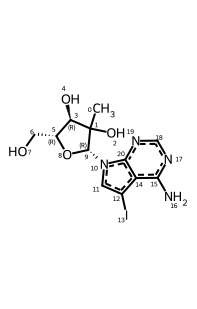 CC1(O)[C@H](O)[C@@H](CO)O[C@H]1n1cc(I)c2c(N)ncnc21